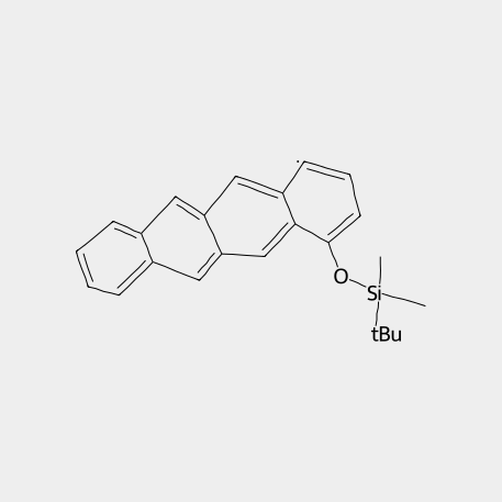 CC(C)(C)[Si](C)(C)Oc1cc[c]c2cc3cc4ccccc4cc3cc12